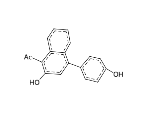 CC(=O)c1c(O)cc(-c2ccc(O)cc2)c2ccccc12